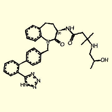 CC(O)CNC(C)(C)CC(=O)N[C@@H]1CCc2ccccc2N(Cc2ccc(-c3ccccc3-c3nnn[nH]3)cc2)C1=O